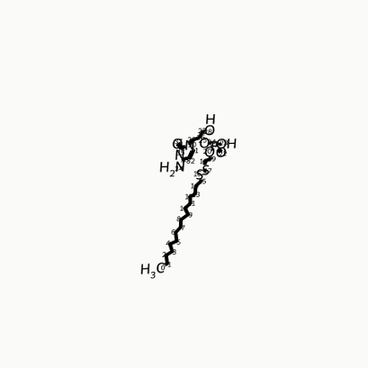 CCCCCCCCCCCCCCCCSSCCOP(=O)(O)COC(CO)Cn1ccc(N)nc1=O